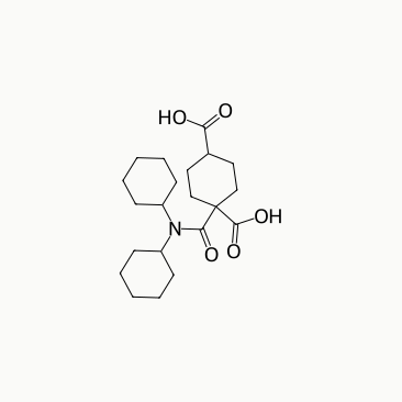 O=C(O)C1CCC(C(=O)O)(C(=O)N(C2CCCCC2)C2CCCCC2)CC1